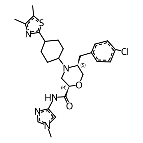 Cc1nc(C2CCC(N3C[C@H](C(=O)Nc4cn(C)cn4)OC[C@@H]3Cc3ccc(Cl)cc3)CC2)sc1C